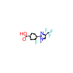 Cn1cc(C(F)(F)F)nc1-c1ccc(C(=O)O)cc1F